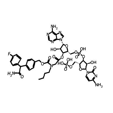 CCCCN(CC(=O)O[C@H]1[C@@H](O)[C@H](n2cnc3c(N)ncnc32)O[C@@H]1COP(=O)(O)O[C@H]1[C@@H](O)[C@H](n2ccc(N)nc2=O)O[C@@H]1COP(=O)(O)O)C(=O)OCc1ccc(C(C(N)=O)c2ccc(F)cc2)cc1